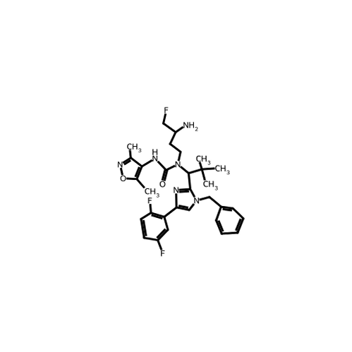 Cc1noc(C)c1NC(=O)N(CCC(N)CF)C(c1nc(-c2cc(F)ccc2F)cn1Cc1ccccc1)C(C)(C)C